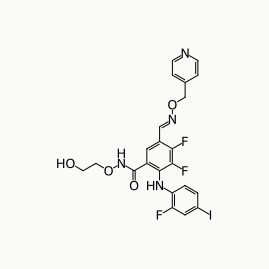 O=C(NOCCO)c1cc(C=NOCc2ccncc2)c(F)c(F)c1Nc1ccc(I)cc1F